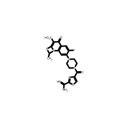 CC1Sc2c(C(=O)O)c(=O)c3cc(F)c(N4CCN(C(=O)c5csc(C(=N)N)n5)CC4)cc3n21